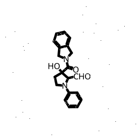 O=CC1N(c2ccccc2)CCC1(O)C(=O)N1Cc2ccccc2C1